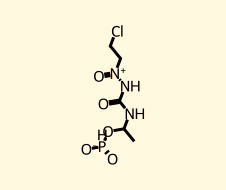 CC(NC(=O)N[N+](=O)CCCl)O[PH](=O)[O-]